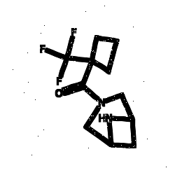 O=C(N1CC2CC(C1)N2)C1(C(F)(F)F)CCC1